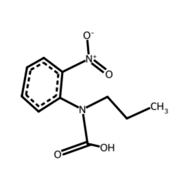 CCCN(C(=O)O)c1ccccc1[N+](=O)[O-]